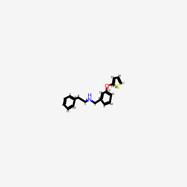 c1ccc(CCNCc2cccc(Oc3cccs3)c2)cc1